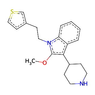 COc1c(C2CCNCC2)c2ccccc2n1CCc1ccsc1